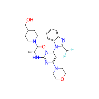 C[C@H](Nc1nc(N2CCOCC2)cc(-n2c(C(F)F)nc3ccccc32)n1)C(=O)N1CCC(CO)CC1